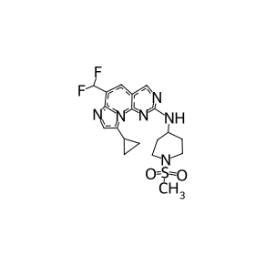 CS(=O)(=O)N1CCC(Nc2ncc3cc(C(F)F)c4ncc(C5CC5)n4c3n2)CC1